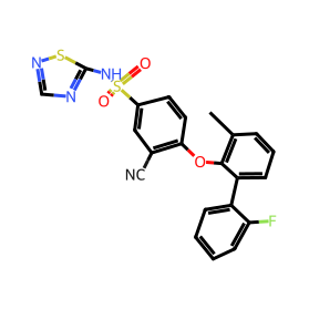 Cc1cccc(-c2ccccc2F)c1Oc1ccc(S(=O)(=O)Nc2ncns2)cc1C#N